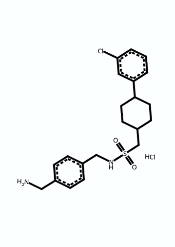 Cl.NCc1ccc(CNS(=O)(=O)CC2CCC(c3cccc(Cl)c3)CC2)cc1